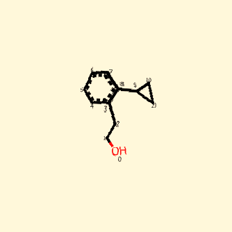 OCCc1ccccc1C1CC1